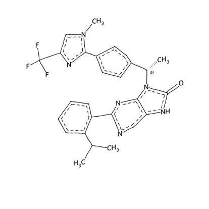 CC(C)c1ccccc1-c1ncc2[nH]c(=O)n([C@@H](C)c3ccc(-c4nc(C(F)(F)F)cn4C)cc3)c2n1